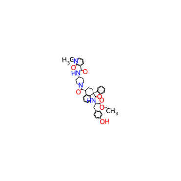 CCOC(=O)C(Cc1ccc(O)cc1)NC(=O)[C@@]1(c2ccccc2)CC[C@H](C(=O)N2CCC(NC(=O)c3cccn(C)c3=O)CC2)c2ccccc21